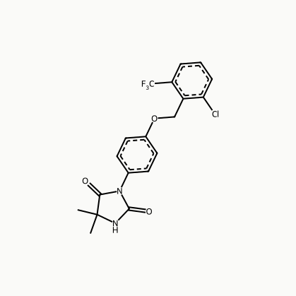 CC1(C)NC(=O)N(c2ccc(OCc3c(Cl)cccc3C(F)(F)F)cc2)C1=O